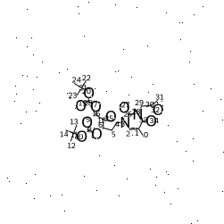 Cc1cn(C2C[C@H](OC(=O)OC(C)(C)C)C(COC(=O)OC(C)(C)C)O2)c(=O)n(CC2CO2)c1=O